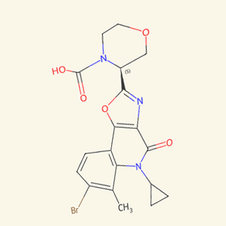 Cc1c(Br)ccc2c3oc([C@@H]4COCCN4C(=O)O)nc3c(=O)n(C3CC3)c12